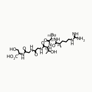 CC[C@H](C)[C@H](NC(=O)[C@H](C)CCCNC(=N)N)C(=O)N[C@H](C(=O)NCC(=O)NCC(=O)N[C@@H](CO)C(=O)O)[C@H](C)O